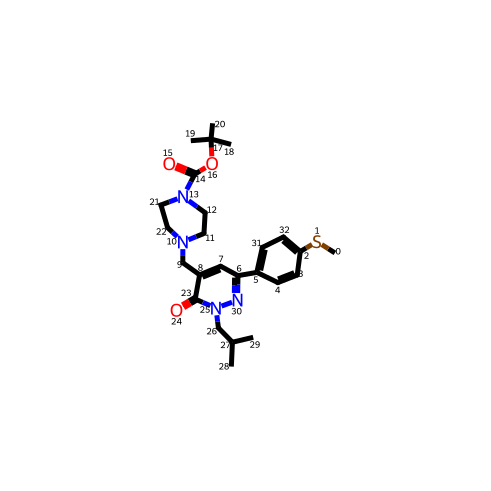 CSc1ccc(-c2cc(CN3CCN(C(=O)OC(C)(C)C)CC3)c(=O)n(CC(C)C)n2)cc1